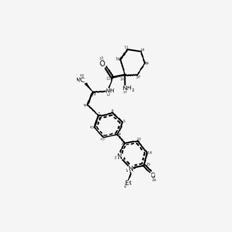 CCn1nc(-c2ccc(C[C@@H](C#N)NC(=O)C3(N)CCCCC3)cc2)ccc1=O